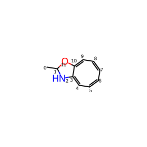 CC1NC2=C/C=C\C=C/C=C\2O1